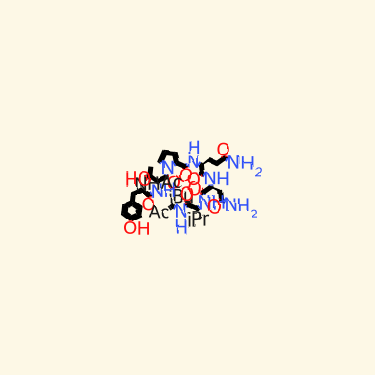 CCC(C)[C@H](NC(=O)[C@@H](NC(=O)[C@H](CC(N)=O)NC(=O)[C@H](CCC(N)=O)NC(=O)C1CCCN1C(=O)[C@@H](NC(=O)[C@H](Cc1ccc(O)cc1)NC(C)=O)C(C)O)C(C)C)C(C)=O